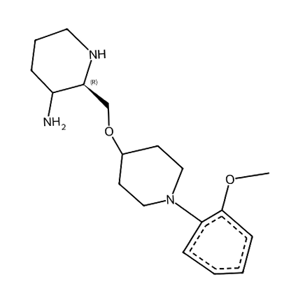 COc1ccccc1N1CCC(OC[C@@H]2NCCCC2N)CC1